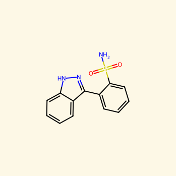 NS(=O)(=O)c1ccccc1-c1n[nH]c2ccccc12